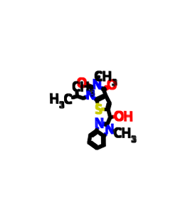 CC(C)Cn1c(=O)n(C)c(=O)c2cc(C(O)c3nc4ccccc4n3C)sc21